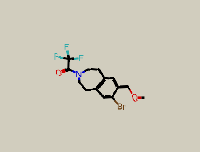 COCc1cc2c(cc1Br)CCN(C(=O)C(F)(F)F)CC2